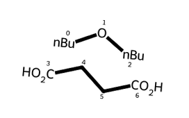 CCCCOCCCC.O=C(O)CCC(=O)O